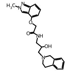 Cn1cc2c(OCC(=O)NCC(O)CN3CCc4ccccc4C3)cccc2n1